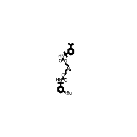 C=C(C)c1cccc(C(C)(C)NC(=O)OCCN(C)CCOC(=O)NC(C)(C)c2cccc(C(C)(C)C)c2)c1